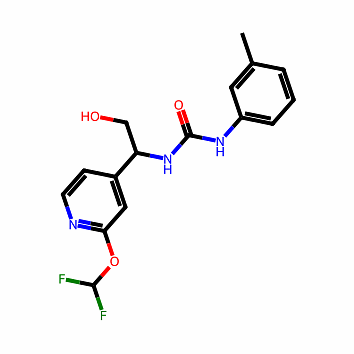 Cc1cccc(NC(=O)NC(CO)c2ccnc(OC(F)F)c2)c1